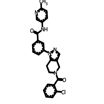 Cc1ccc(NC(=O)c2cccc(-n3ncc4c3CCN(C(=O)c3ccccc3Cl)C4)c2)cn1